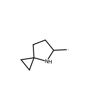 [CH2]C1CCC2(CC2)N1